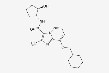 Cc1nc2c(OCC3CCCCC3)cccn2c1C(=O)N[C@@H]1CCC[C@H]1O